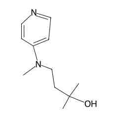 CN(CCC(C)(C)O)c1ccncc1